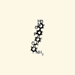 NC1CCCN(C(=O)CN2CCN(c3ccc(C4CCC(=O)NC4=O)cc3F)CC2)C1